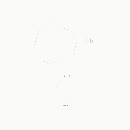 C1=CCCC=CCC1.CC(=O)CC(=O)[O-].[Rh+]